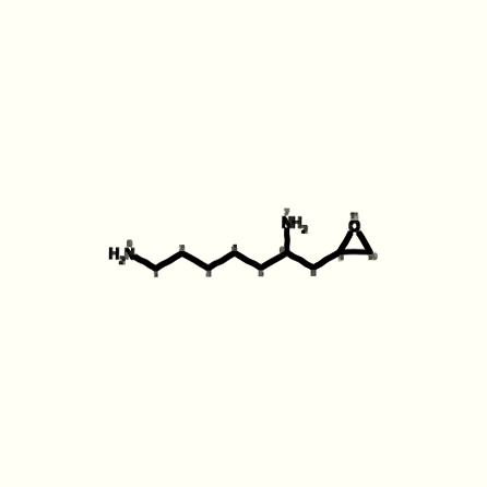 NCCCCCC(N)CC1CO1